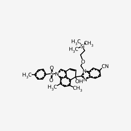 Cc1ccc(S(=O)(=O)n2cc3c4c(c(C)cc(C)c42)C(O)(c2nc4ccc(C#N)cc4n2COCC[Si](C)(C)C)C=C3)cc1